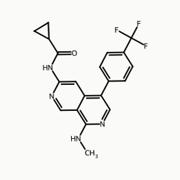 CNc1ncc(-c2ccc(C(F)(F)F)cc2)c2cc(NC(=O)C3CC3)ncc12